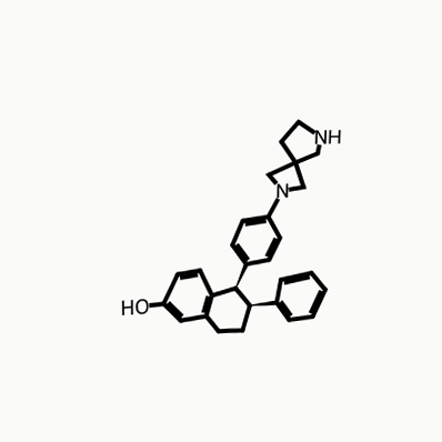 Oc1ccc2c(c1)CC[C@H](c1ccccc1)[C@@H]2c1ccc(N2CC3(CCNC3)C2)cc1